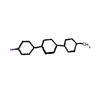 CC1CCC(C2CCC(C3CCC(I)CC3)CC2)CC1